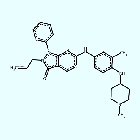 C=CCn1c(=O)c2cnc(Nc3ccc(NC4CCN(C)CC4)c(C)c3)nc2n1-c1ccccn1